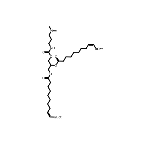 CCCCCCCC/C=C\CCCCCCCC(=O)OCC(COC(=O)NCCCN(C)C)OC(=O)CCCCCCC/C=C\CCCCCCCC